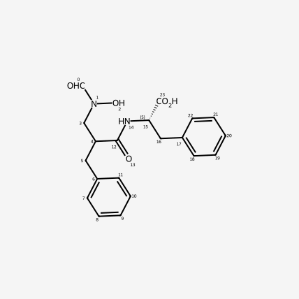 O=CN(O)CC(Cc1ccccc1)C(=O)N[C@@H](Cc1ccccc1)C(=O)O